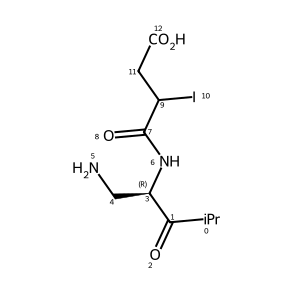 CC(C)C(=O)[C@@H](CN)NC(=O)C(I)CC(=O)O